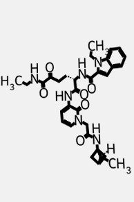 CCNC(=O)C(=O)CC[C@H](NC(=O)c1cc2ccccc2n1CC)C(=O)Nc1cccn(CC(=O)NC23CC(C2)[C@@H]3C)c1=O